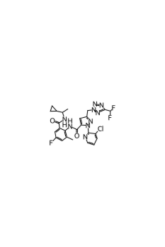 Cc1cc(F)cc(C(=O)NC(C)C2CC2)c1NC(=O)c1cc(Cn2nnc(C(F)F)n2)nn1-c1ncccc1Cl